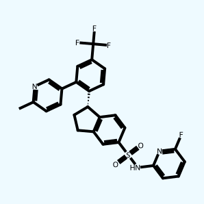 Cc1ccc(-c2cc(C(F)(F)F)ccc2[C@H]2CCc3cc(S(=O)(=O)Nc4cccc(F)n4)ccc32)cn1